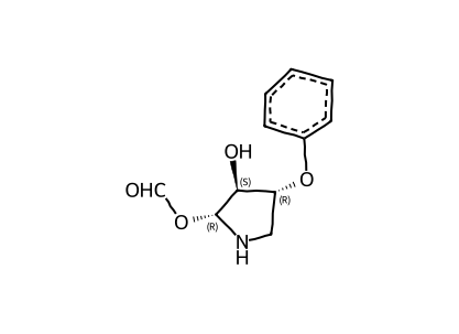 O=CO[C@H]1NC[C@@H](Oc2ccccc2)[C@@H]1O